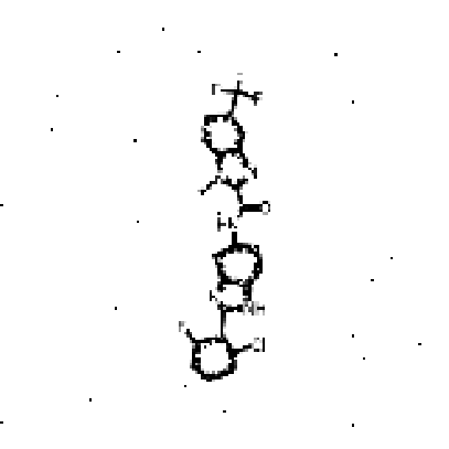 Cn1c(C(=O)Nc2ccc3[nH]c(-c4c(F)cccc4Cl)nc3c2)nc2cc(C(F)(F)F)ccc21